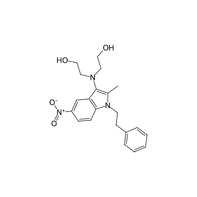 Cc1c(N(CCO)CCO)c2cc([N+](=O)[O-])ccc2n1CCc1ccccc1